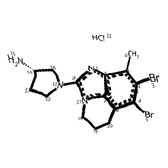 Cc1c(Br)c(Br)c2c3c1nc(N1CC[C@H](N)C1)n3CCC2.Cl